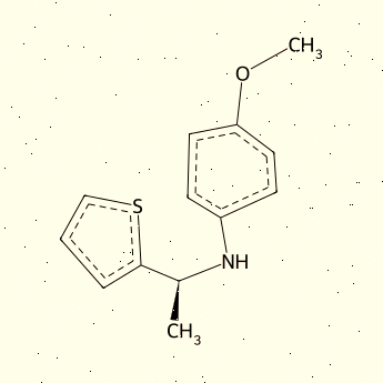 COc1ccc(N[C@@H](C)c2cccs2)cc1